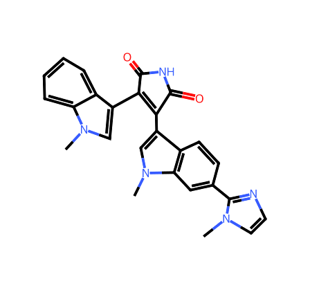 Cn1ccnc1-c1ccc2c(C3=C(c4cn(C)c5ccccc45)C(=O)NC3=O)cn(C)c2c1